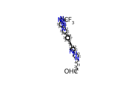 O=CCCCCCN1CCN(c2ccc(C#Cc3ccc(C4CCN(C5=Nn6c(nnc6C(F)(F)F)CC5)CC4)cc3)cn2)CC1